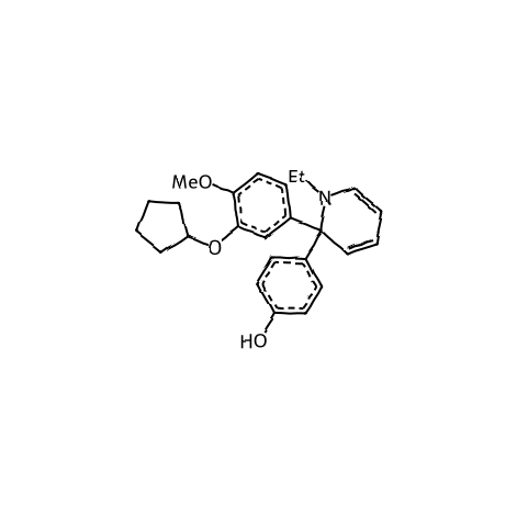 CCN1C=CC=CC1(c1ccc(O)cc1)c1ccc(OC)c(OC2CCCC2)c1